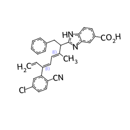 C=C/C(=C\C=C(/C)C(Cc1ccccc1)c1nc2cc(C(=O)O)ccc2[nH]1)c1cc(Cl)ccc1C#N